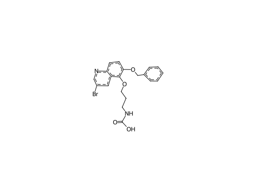 O=C(O)NCCCOc1c(OCc2ccccc2)ccc2ncc(Br)cc12